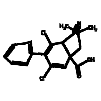 CN(C)CC1(C(=O)O)C=C(Cl)C(c2ccccc2)=C(Cl)C1C#N